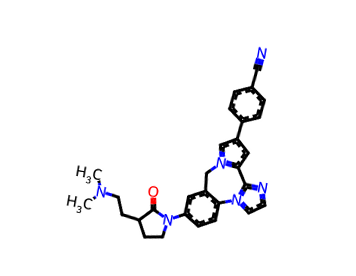 CN(C)CCC1CCN(c2ccc3c(c2)Cn2cc(-c4ccc(C#N)cc4)cc2-c2nccn2-3)C1=O